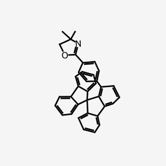 CC1(C)COC(c2ccc(-c3cccc4c3C3(c5ccccc5-c5ccccc53)c3ccccc3-4)cc2)=N1